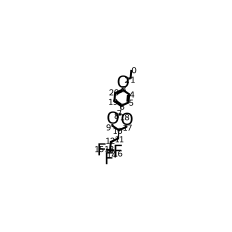 CCOc1ccc([C@H]2OC[C@H](CCC(F)(F)F)CO2)cc1